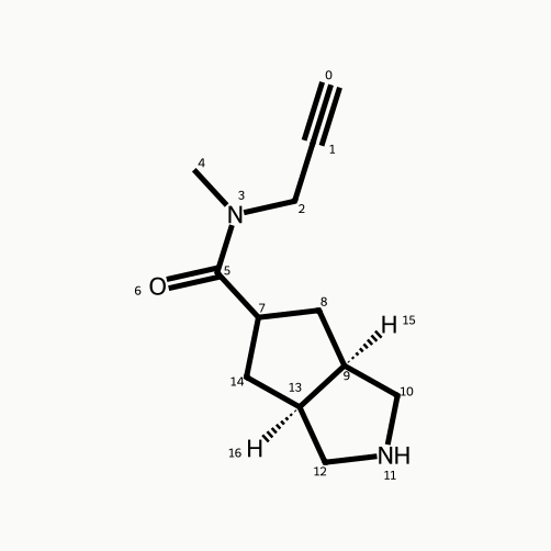 C#CCN(C)C(=O)C1C[C@H]2CNC[C@H]2C1